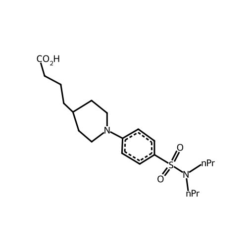 CCCN(CCC)S(=O)(=O)c1ccc(N2CCC(CCCC(=O)O)CC2)cc1